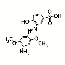 COc1cc(N=Nc2cc(S(=O)(=O)O)ccc2O)c(OC)cc1N